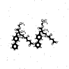 CCOC(=O)[C@@](C)(CCNC(=O)CCC(=O)[O-])Cc1ccc(-c2ccccc2)cc1.CCOC(=O)[C@@](C)(CCNC(=O)CCC(=O)[O-])Cc1ccc(-c2ccccc2)cc1.[Ca+2]